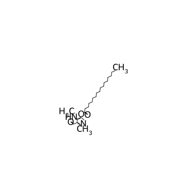 CCCCCCCCCCCCCCCCCC(=O)Oc1cnc(C)c(C=O)c1NCC